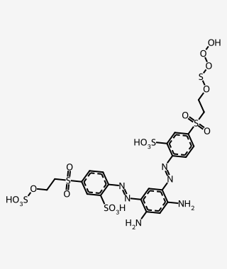 Nc1cc(N)c(/N=N/c2ccc(S(=O)(=O)CCOS(=O)(=O)O)cc2S(=O)(=O)O)cc1/N=N/c1ccc(S(=O)(=O)CCOSOOO)cc1S(=O)(=O)O